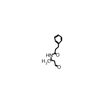 C[C@H](CC=O)NC(=O)CCc1ccccc1